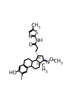 CO/N=C1\C[C@@H](CCC(=O)Nc2ncc(C)s2)C2C3CCc4cc(O)c(I)cc4C3CC[C@]12C